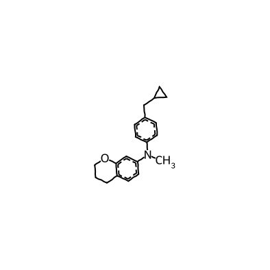 CN(c1ccc(CC2CC2)cc1)c1ccc2c(c1)OCCC2